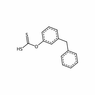 S=C(S)Oc1cccc(Cc2ccccc2)c1